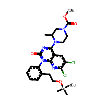 CC1CN(C(=O)OC(C)(C)C)CCN1c1nc(=O)n(-c2ccccc2CCO[Si](C)(C)C(C)(C)C)c2nc(Cl)c(Cl)cc12